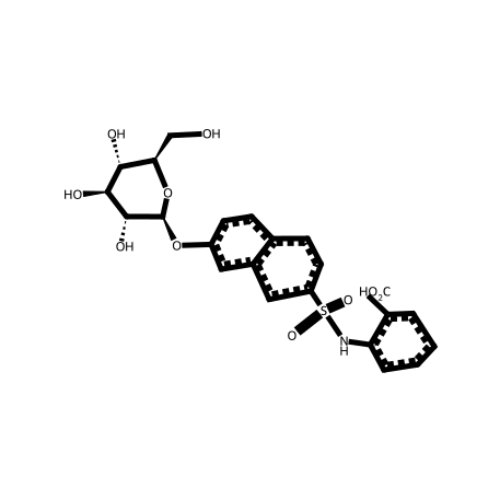 O=C(O)c1ccccc1NS(=O)(=O)c1ccc2ccc(O[C@@H]3O[C@H](CO)[C@@H](O)[C@H](O)[C@H]3O)cc2c1